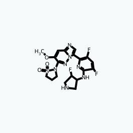 COc1cc2ncc(-c3nc(NC4CNCC4F)c(F)cc3F)n2nc1N1CCCS1(=O)=O